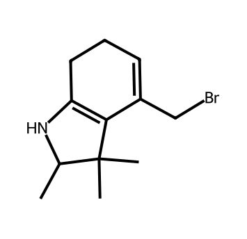 CC1NC2=C(C(CBr)=CCC2)C1(C)C